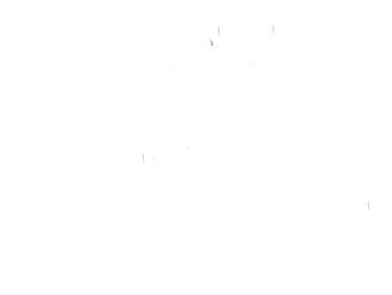 CCc1cc(Cl)cc(OC)c1C1=C(OP(C)(=S)OCC(F)(F)F)C(C)(C)OC1=O